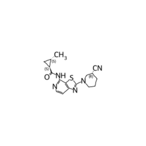 C[C@H]1C[C@@H]1C(=O)Nc1nccc2nc(N3CCC[C@@H](C#N)C3)sc12